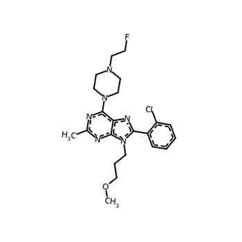 COCCCn1c(-c2ccccc2Cl)nc2c(N3CCN(CCF)CC3)nc(C)nc21